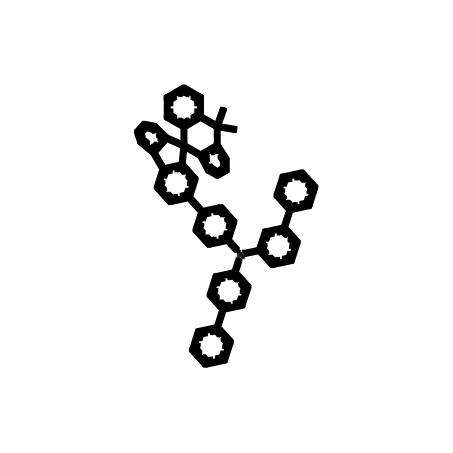 CC1(C)c2ccccc2C2(c3ccccc3-c3ccc(-c4ccc(N(c5ccc(-c6ccccc6)cc5)c5cccc(-c6ccccc6)c5)cc4)cc32)c2ccccc21